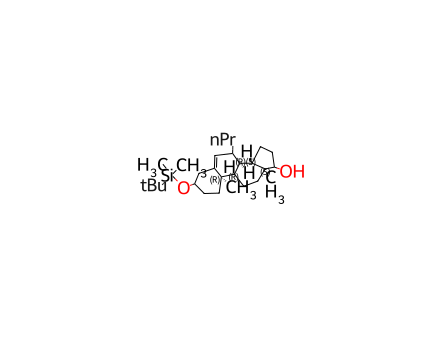 CCCC1C=C2CC(O[Si](C)(C)C(C)(C)C)CC[C@]2(C)[C@@H]2CC[C@]3(C)C(O)CC[C@H]3[C@H]12